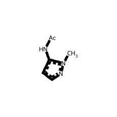 CC(=O)Nc1c[c]nn1C